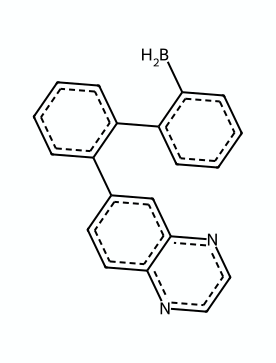 Bc1ccccc1-c1ccccc1-c1ccc2nccnc2c1